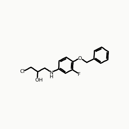 OC(CCl)CNc1ccc(OCc2ccccc2)c(F)c1